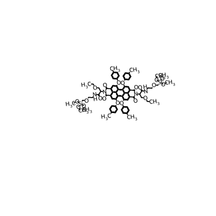 CCOCC(C(=O)NCCOC[Si](OC)(OC)OC)N1C(=O)c2cc(Oc3ccc(C)cc3)c3c4c(Oc5ccc(C)cc5)cc5c6c(cc(Oc7ccc(C)cc7)c(c7c(Oc8ccc(C)cc8)cc(c2c37)C1=O)c64)C(=O)N(C(COCC)C(=O)NCCOC[Si](OC)(OC)OC)C5=O